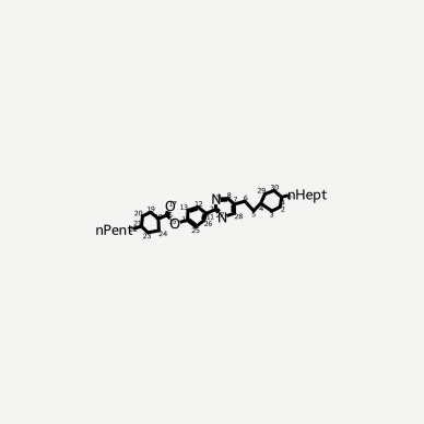 CCCCCCCC1CCC(CCc2cnc(-c3ccc(OC(=O)C4CCC(CCCCC)CC4)cc3)nc2)CC1